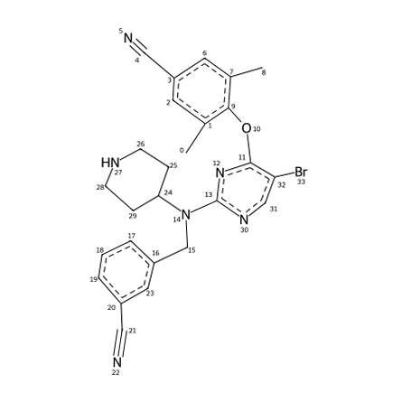 Cc1cc(C#N)cc(C)c1Oc1nc(N(Cc2cccc(C#N)c2)C2CCNCC2)ncc1Br